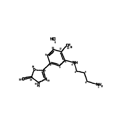 Cl.NCCCNc1cc(-c2n[nH]c(=O)o2)ccc1C(F)(F)F